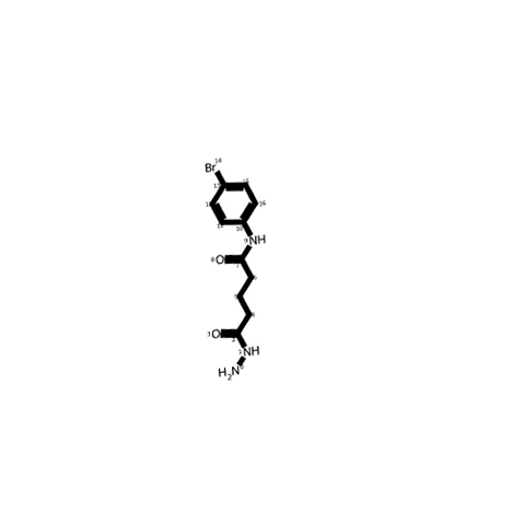 NNC(=O)CCCC(=O)Nc1ccc(Br)cc1